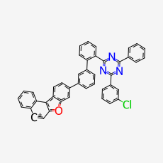 Clc1cccc(-c2nc(-c3ccccc3)nc(-c3ccccc3-c3cccc(-c4ccc5c6c(oc5c4)C=[C+]c4ccccc4-6)c3)n2)c1